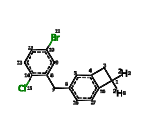 [2H]C1([2H])Cc2cc(Cc3cc(Br)ccc3Cl)ccc21